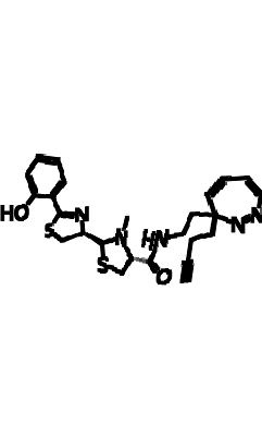 C#CCCC1(CCNC(=O)[C@@H]2CSC([C@H]3CSC(c4ccccc4O)=N3)N2C)C=CC=CN=N1